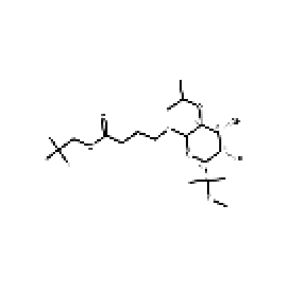 COC(C)(C)[C@@H]1OC(SCCCC(=O)OCC(F)(F)F)[C@@H](OC(C)C)[C@H](O)[C@@H]1O